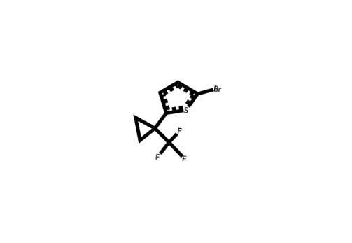 FC(F)(F)C1(c2ccc(Br)s2)CC1